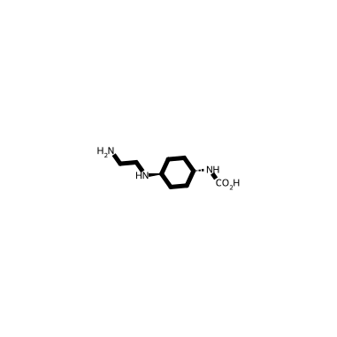 NCCN[C@H]1CC[C@H](NC(=O)O)CC1